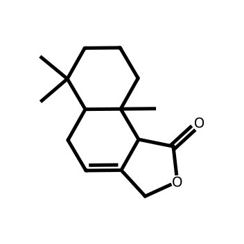 CC1(C)CCCC2(C)C3C(=O)OCC3=CCC12